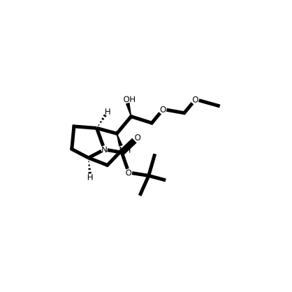 COCOC[C@H](O)[C@H]1NC[C@H]2CC[C@@H]1N2C(=O)OC(C)(C)C